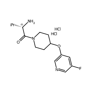 CC(C)[C@H](N)C(=O)N1CCC(Oc2cncc(F)c2)CC1.Cl.Cl